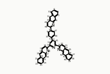 c1ccc2cc3nc(-c4ccc(-c5cc(-c6ccc7cc8ccccc8cc7n6)nc(-c6ccc7cc8ccccc8cc7n6)c5)cc4)ccc3cc2c1